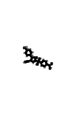 N#Cc1cc(S(=O)(=O)c2ccc([N+](=O)[O-])cc2)[nH]c1-c1ccc(Cl)cc1